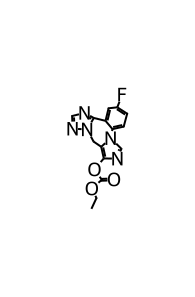 CCOC(=O)Oc1ncn2c1Cn1ncnc1-c1cc(F)ccc1-2